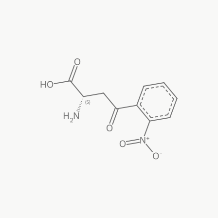 N[C@@H](CC(=O)c1ccccc1[N+](=O)[O-])C(=O)O